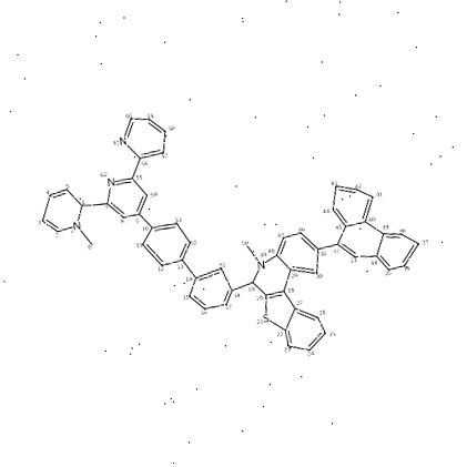 CN1C=CC=CC1c1cc(-c2ccc(-c3cccc(C4c5sc6ccccc6c5-c5cc(-c6cc7ccccc7c7ccccc67)ccc5N4C)c3)cc2)cc(-c2ccccn2)n1